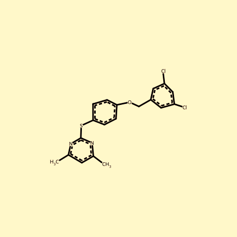 Cc1cc(C)nc(Sc2ccc(OCc3cc(Cl)cc(Cl)c3)cc2)n1